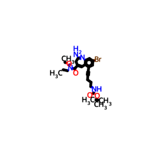 CCCN(OCC)C(=O)C1=Cc2c(C#CCCCNC(=O)OC(C)(C)C)cc(Br)cc2N=C(N)C1